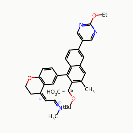 CCOc1ncc(-c2ccc3c(-c4ccc5c(c4)/C(=C\C=N/C)CCO5)c([C@H](OC(C)(C)C)C(=O)O)c(C)cc3c2)cn1